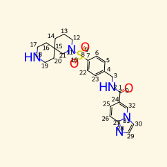 O=C(NCc1ccc(S(=O)(=O)N2CCCC3(CCNCC3)C2)cc1)c1ccc2nccn2c1